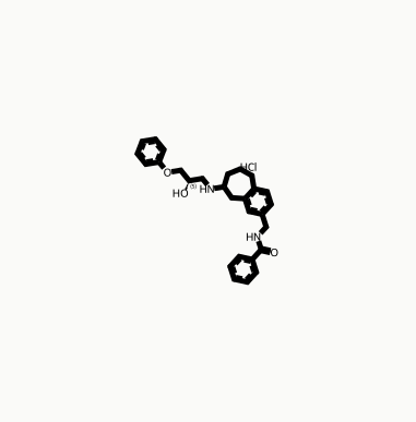 Cl.O=C(NCc1ccc2c(c1)CC(NC[C@H](O)COc1ccccc1)CCC2)c1ccccc1